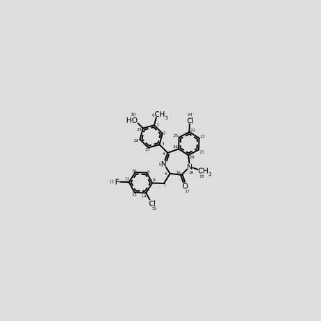 Cc1cc(C2=NC(Cc3ccc(F)cc3Cl)C(=O)N(C)c3ccc(Cl)cc32)ccc1O